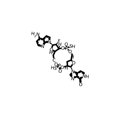 Nc1ccnc2c1ccn2[C@@H]1O[C@@H]2CCOP(=O)(S)O[C@@H]3C[C@@H](COP(=O)(S)O[C@H]2[C@@H]1F)O[C@H]3n1cnc2c(=O)[nH]ccc21